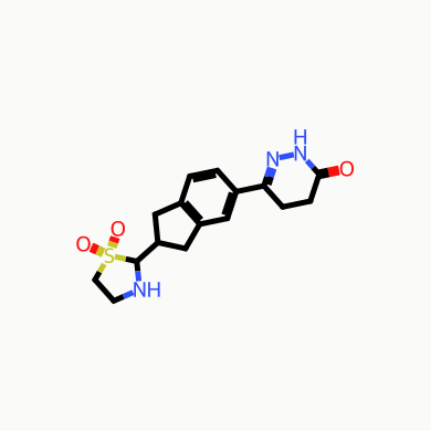 O=C1CCC(c2ccc3c(c2)CC(C2NCCS2(=O)=O)C3)=NN1